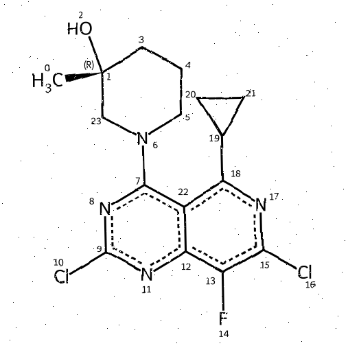 C[C@@]1(O)CCCN(c2nc(Cl)nc3c(F)c(Cl)nc(C4CC4)c23)C1